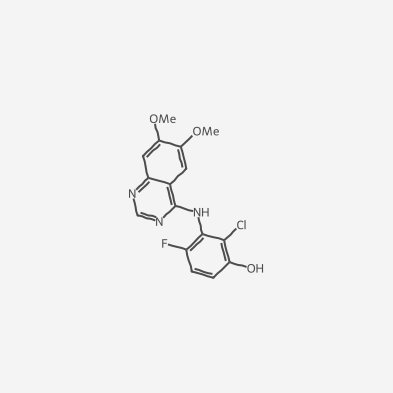 COc1cc2ncnc(Nc3c(F)ccc(O)c3Cl)c2cc1OC